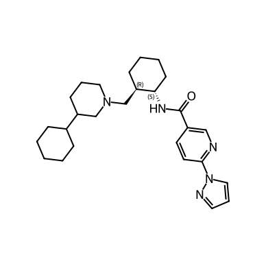 O=C(N[C@H]1CCCC[C@@H]1CN1CCCC(C2CCCCC2)C1)c1ccc(-n2cccn2)nc1